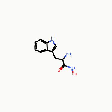 NC(Cc1c[nH]c2ccccc12)C(=O)NO